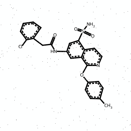 Cc1ccc(Oc2nccc3c(S(N)(=O)=O)cc(NC(=O)Cc4ccccc4Cl)cc23)cc1